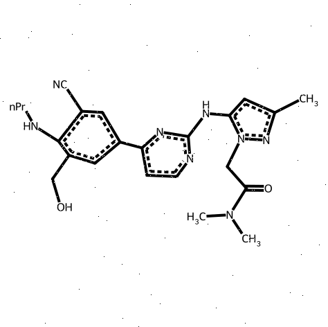 CCCNc1c(C#N)cc(-c2ccnc(Nc3cc(C)nn3CC(=O)N(C)C)n2)cc1CO